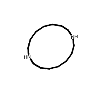 C1CCCNCCCCCCCNCCC1